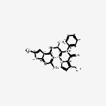 CCCCc1nc(N[C@@H](C)c2nn3ccc(C)c3c(=O)n2-c2ccccc2)c2cc(C)sc2n1